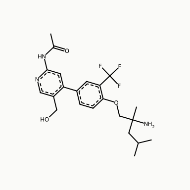 CC(=O)Nc1cc(-c2ccc(OCC(C)(N)CC(C)C)c(C(F)(F)F)c2)c(CO)cn1